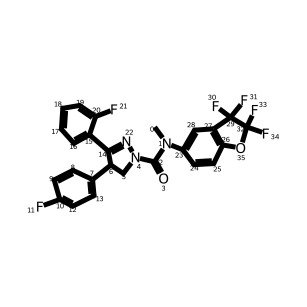 CN(C(=O)N1CC(c2ccc(F)cc2)C(c2ccccc2F)=N1)c1ccc2c(c1)C(F)(F)C(F)(F)O2